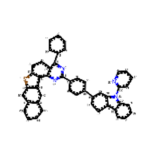 c1ccc(-c2nc(-c3ccc(-c4ccc5c6ccccc6n(-c6ccccn6)c5c4)cc3)nc3c2ccc2sc4cc5ccccc5cc4c23)cc1